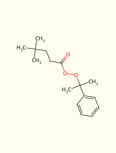 CC(C)(C)CCC(=O)OOC(C)(C)c1ccccc1